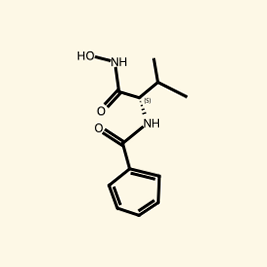 CC(C)[C@H](NC(=O)c1ccccc1)C(=O)NO